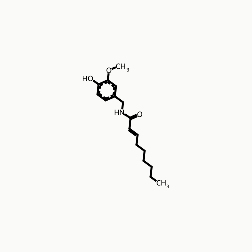 CCCCCCC=CC(=O)NCc1ccc(O)c(OC)c1